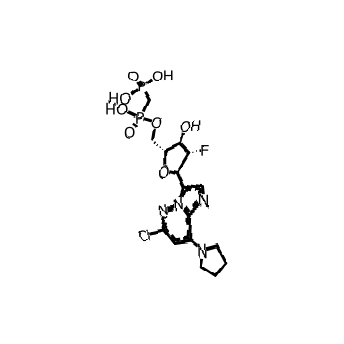 O=P(O)(O)CP(=O)(O)OC[C@H]1OC(c2cnc3c(N4CCCC4)cc(Cl)nn23)[C@@H](F)[C@@H]1O